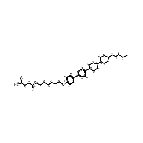 CCCCCC1CCC(C2CCC(c3ccc(-c4ccc(OCCCCCCOC(=O)CCC(=O)O)cc4)cc3)CC2)CC1